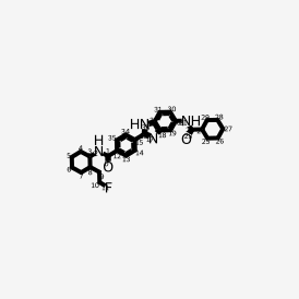 O=C(NC1CCCCC1CCF)c1ccc(-c2nc3cc(NC(=O)C4CCCCC4)ccc3[nH]2)cc1